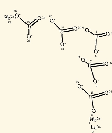 [Lu+3].[Nb+5].[O]=[Ti]([O-])[O-].[O]=[Ti]([O-])[O-].[O]=[Ti]([O-])[O-].[O]=[Ti]([O-])[O-].[O]=[Ti]([O-])[O-].[Pb+2]